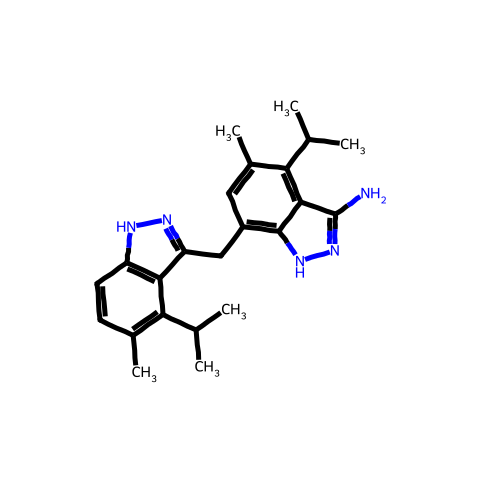 Cc1ccc2[nH]nc(Cc3cc(C)c(C(C)C)c4c(N)n[nH]c34)c2c1C(C)C